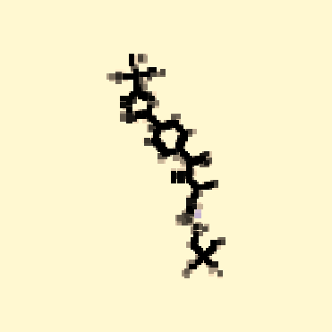 CC(/B=N/OCC(F)(F)F)NC(=O)c1ccc(-c2noc(C(F)(F)F)n2)cc1